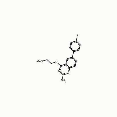 COCCOc1nc(N)nc2ccc(-c3ccc(F)cc3)cc12